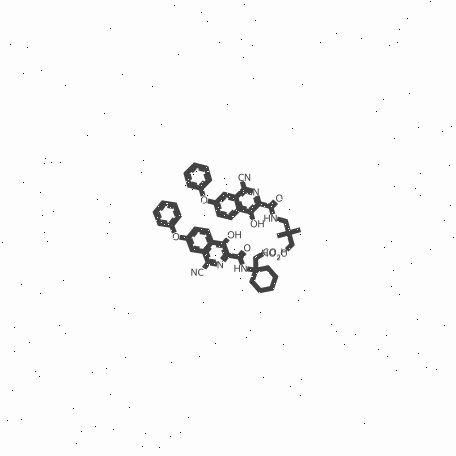 CC(C)(CNC(=O)c1nc(C#N)c2cc(Oc3ccccc3)ccc2c1O)CC(=O)O.N#Cc1nc(C(=O)NC2(CC(=O)O)CCCCC2)c(O)c2ccc(Oc3ccccc3)cc12